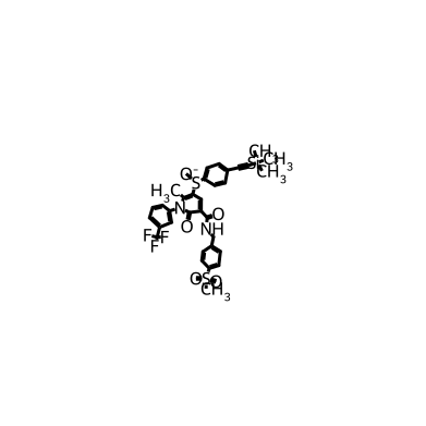 Cc1c([S+]([O-])c2ccc(C#C[Si](C)(C)C)cc2)cc(C(=O)NCc2ccc(S(C)(=O)=O)cc2)c(=O)n1-c1cccc(C(F)(F)F)c1